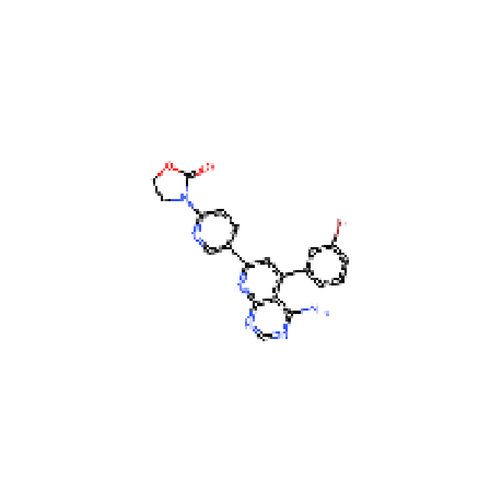 Nc1ncnc2nc(-c3ccc(N4CCOC4=O)nc3)cc(-c3cccc(Br)c3)c12